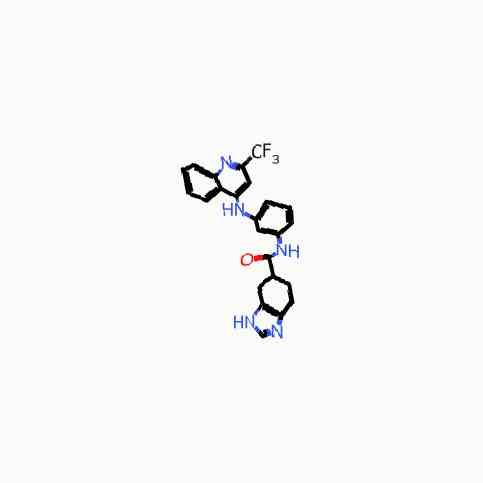 O=C(Nc1cccc(Nc2cc(C(F)(F)F)nc3ccccc23)c1)C1CCc2nc[nH]c2C1